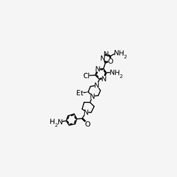 CC[C@H]1CN(c2nc(N)c(-c3nnc(N)o3)nc2Cl)CCN1C1CCN(C(=O)c2ccc(N)cc2)CC1